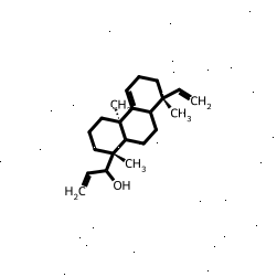 C=CC(O)[C@]1(C)CCC[C@@]2(C)C3=CCC[C@](C)(C=C)C3CCC12